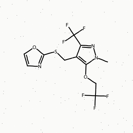 Cn1nc(C(F)(F)F)c(CSc2ncco2)c1OCC(F)(F)F